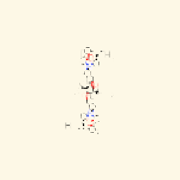 CC(C)c1cccc(N(c2ccc3cc4c(cc3c2)oc2c(C(C)C)c3c(oc5cc6cc(N(c7cccc(C(C)C)c7)c7cccc8c7oc7ccccc78)ccc6cc53)c(C(C)C)c24)c2cccc3c2oc2ccccc23)c1